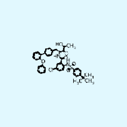 CC(O)C(=O)[C@H](Cc1ccc(-c2ccccc2Oc2ccccc2)cc1)NC(=O)c1cc(Cl)ccc1NS(=O)(=O)c1ccc(C(C)(C)C)cc1